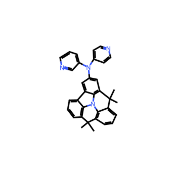 CC1(C)c2cccc3c2-n2c4c1cccc4c1cc(N(c4ccncc4)c4cccnc4)cc(c12)C3(C)C